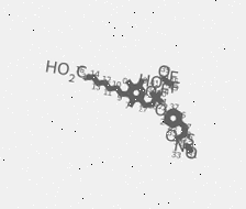 Cc1c(C)c2c(c(C)c1CCCCCCCC(=O)O)CCC(C)(COc1ccc(C=C3SC(=O)N(C)C3=O)cc1)O2.O=C(O)C(F)(F)F